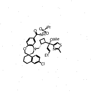 CC/C=C/[C@@](OC)(c1csc(C)n1)[C@@H]1CC[C@H]1CN1C[C@@]2(CCCc3cc(Cl)ccc32)COc2ccc(C(=O)NS(=O)(=O)C(C)C)cc21